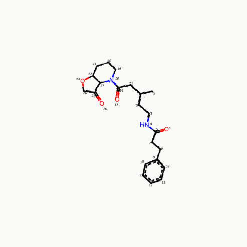 CC(CCNC(=O)CCc1ccccc1)CC(=O)N1CCCC2OCC(=O)C21